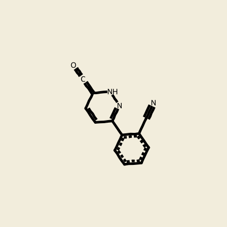 N#Cc1ccccc1C1=NNC(=C=O)C=C1